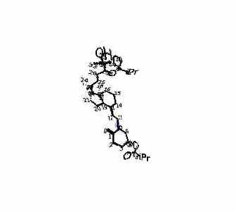 C=C1CC[C@H](OC(=O)C(C)C)C/C1=C/C=C1CCC[C@@]2(C)C1CC[C@@H]2[C@H](C)CCC(OC(=O)C(C)C)C(C)(C)O